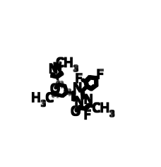 Cc1nc2c(-c3ccc(F)cc3F)nc([C@@H]3C[C@@H](c4cnn(C)c4)O[C@@H](C)C3)cn2c(=O)c1F